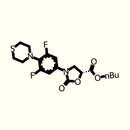 CCCCOC(=O)[C@H]1CN(c2cc(F)c(N3CCSCC3)c(F)c2)C(=O)O1